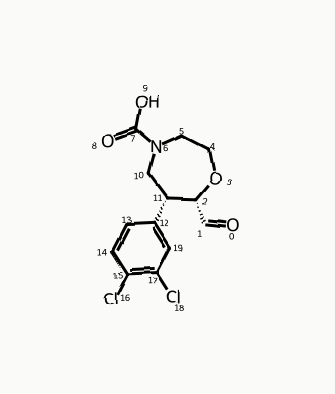 O=C[C@H]1OCCN(C(=O)O)C[C@H]1c1ccc(Cl)c(Cl)c1